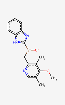 COc1c(C)cnc(C[S+]([O-])c2nc3c[c]ccc3[nH]2)c1C